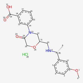 COc1cccc([C@@H](C)NCC2CN(c3cccc(C(=O)O)c3)C(=O)CO2)c1.Cl